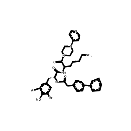 NCCCCC(NC(=O)[C@@H](Cc1cc(Br)c(O)c(Br)c1)NC(=O)Cc1ccc(-c2ccccc2)cc1)C(=O)N1CCN(c2ccncc2)CC1